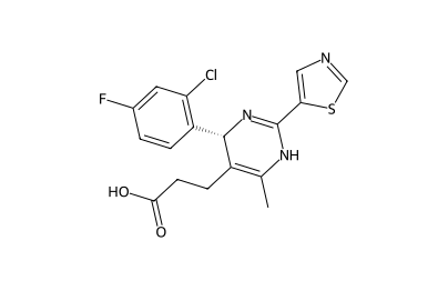 CC1=C(CCC(=O)O)[C@H](c2ccc(F)cc2Cl)N=C(c2cncs2)N1